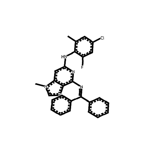 Cc1cc(Cl)cc(F)c1Nc1cc2c(ncn2C)c(N=C(c2ccccc2)c2ccccc2)n1